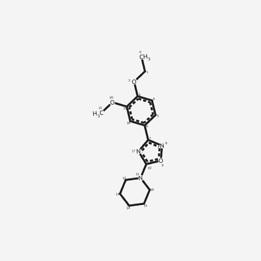 CCOc1ccc(-c2noc(N3CC[CH]CC3)n2)cc1OC